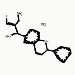 Cl.NC/C(=C\F)C(O)c1ccc2c(c1)CCC(c1ccccc1)N2